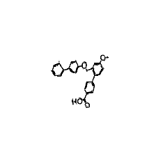 COc1ccc(-c2ccc(C(=O)O)cc2)c(COc2ccc(-c3[c]cccc3)cc2)c1